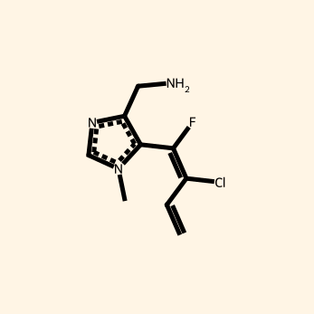 C=C/C(Cl)=C(/F)c1c(CN)ncn1C